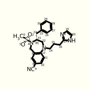 CS(=O)(=O)N1Cc2cc(C#N)ccc2N(CCCc2ncc[nH]2)C[C@H]1Cc1ccccc1